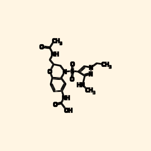 CCn1cc(S(=O)(=O)N2CC(CNC(C)=O)Oc3ccc(NC(=O)O)cc32)c(NC)n1